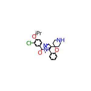 CC(C)Oc1ccc(C(=O)[N+]2(C)N=CC3=C2c2ccccc2OC32CCNCC2)cc1Cl